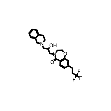 O=C1c2ccc(CCC(F)(F)F)cc2OCCN1CC(O)CN1CCc2ccccc2C1